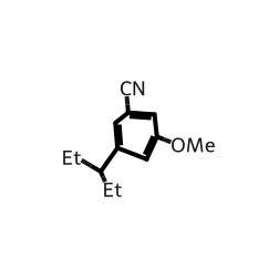 CCC(CC)c1cc(C#N)cc(OC)c1